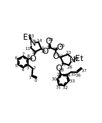 C=CCc1ccccc1OC1CN(CC)CC1OC(=O)C(=O)OC1CN(CC)CC1Oc1ccccc1CC=C